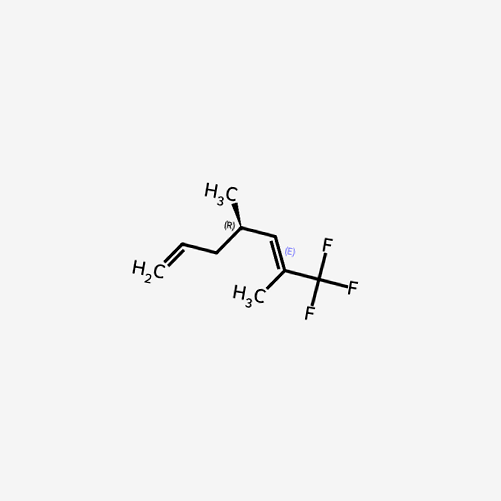 C=CC[C@@H](C)/C=C(\C)C(F)(F)F